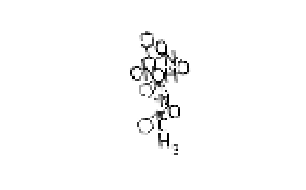 C[C@H](CC1CCCCC1)C(=O)N1CC[C@](O)(Cn2cc(C(=O)N3CCOCC3)c(-c3ccccc3)cc2=O)C2(CCCC2)C1